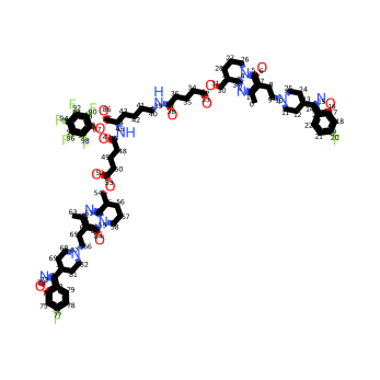 Cc1nc2n(c(=O)c1CCN1CCC(c3noc4cc(F)ccc34)CC1)CCCC2COC(=O)CCCC(=O)NCCCCC(NC(=O)CCCC(=O)OCC1CCCn2c1nc(C)c(CCN1CCC(c3noc4cc(F)ccc34)CC1)c2=O)C(=O)Oc1c(F)c(F)c(F)c(F)c1F